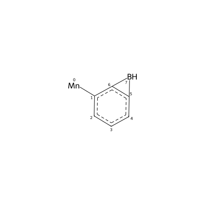 [Mn][c]1cccc2c1B2